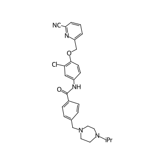 CC(C)N1CCN(Cc2ccc(C(=O)Nc3ccc(OCc4cccc(C#N)n4)c(Cl)c3)cc2)CC1